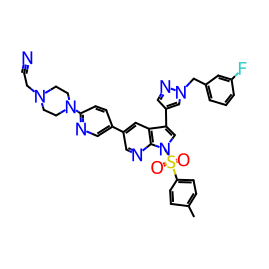 Cc1ccc(S(=O)(=O)n2cc(-c3cnn(Cc4cccc(F)c4)c3)c3cc(-c4ccc(N5CCN(CC#N)CC5)nc4)cnc32)cc1